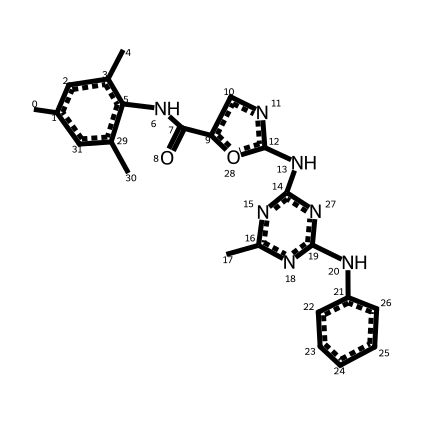 Cc1cc(C)c(NC(=O)c2cnc(Nc3nc(C)nc(Nc4ccccc4)n3)o2)c(C)c1